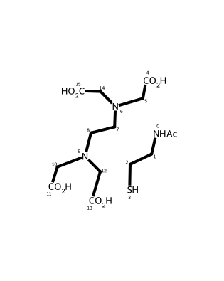 CC(=O)NCCS.O=C(O)CN(CCN(CC(=O)O)CC(=O)O)CC(=O)O